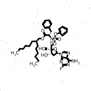 C#C[C@]1(COP(=O)(N[C@@H](Cc2ccccc2)C(=O)OCC(CCCCCC)CCCCCC)Oc2ccccc2)O[C@@H](n2cnc3c(N)nc(F)nc32)C[C@@H]1O